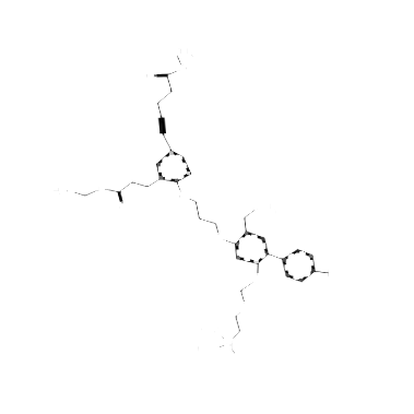 CCOC(=O)CCc1cc(C#CCCC(=O)OC)ccc1OCCCOc1cc(OCOCC[Si](C)(C)C)c(-c2ccc(F)cc2)cc1CC